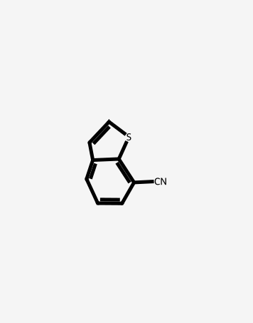 N#Cc1cccc2c[c]sc12